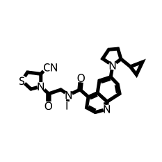 N#CC1CSCN1C(=O)CN(I)C(=O)c1ccnc2ccc(N3CCCC3C3CC3)cc12